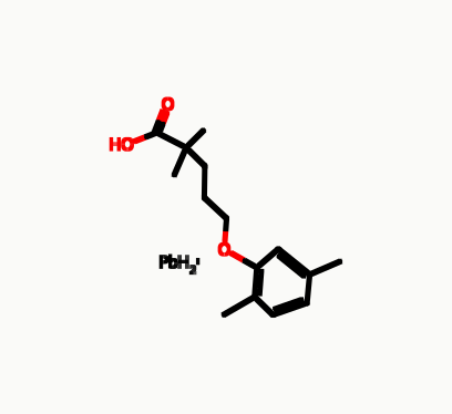 Cc1ccc(C)c(OCCCC(C)(C)C(=O)O)c1.[PbH2]